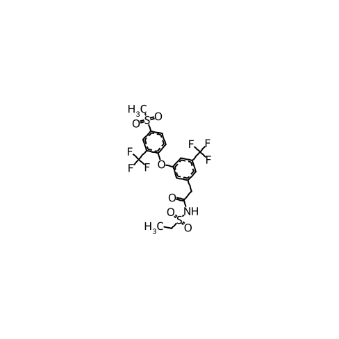 CCS(=O)(=O)NC(=O)Cc1cc(Oc2ccc(S(C)(=O)=O)cc2C(F)(F)F)cc(C(F)(F)F)c1